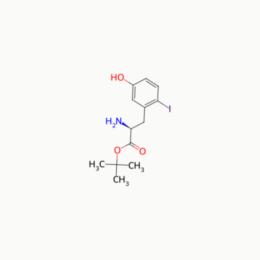 CC(C)(C)OC(=O)[C@@H](N)Cc1cc(O)ccc1I